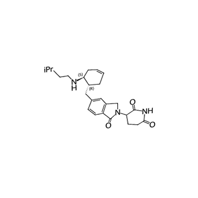 CC(C)CCN[C@H]1CC=CC[C@@H]1Cc1ccc2c(c1)CN(C1CCC(=O)NC1=O)C2=O